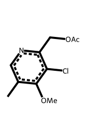 COc1c(C)cnc(COC(C)=O)c1Cl